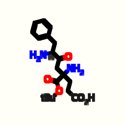 CC(C)(C)OC(=O)C(N)(CCC(=O)O)CC(=O)[C@@H](N)Cc1ccccc1